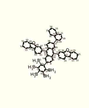 Bc1c(B)c(B)c(-c2ccc3c(-c4ccc5c(c4)oc4ccccc45)c4cc(-c5cccc6ccccc56)ccc4c(-c4ccc5c(c4)oc4ccccc45)c3c2)c(B)c1B